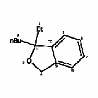 CCCCC1(CC)OCc2ccccc21